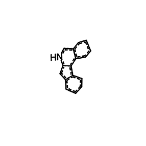 c1ccc2c3c4ccccc4cc-3[nH]cc2c1